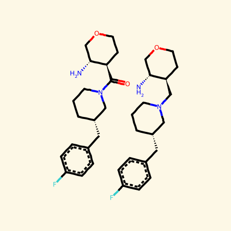 N[C@@H]1COCC[C@H]1C(=O)N1CCC[C@@H](Cc2ccc(F)cc2)C1.N[C@@H]1COCC[C@H]1CN1CCC[C@@H](Cc2ccc(F)cc2)C1